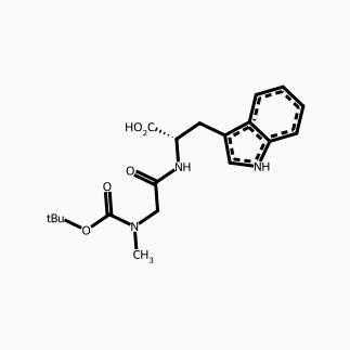 CN(CC(=O)N[C@@H](Cc1c[nH]c2ccccc12)C(=O)O)C(=O)OC(C)(C)C